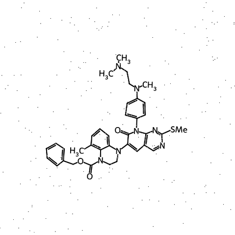 CSc1ncc2cc(N3CCN(C(=O)OCc4ccccc4)c4c(C)cccc43)c(=O)n(-c3ccc(N(C)CCN(C)C)cc3)c2n1